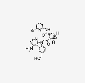 Nc1ncnc2c1c1cc(CO)ccc1n2CC(=O)N1[C@@H]2C[C@@H]2C[C@H]1C(=O)Nc1cccc(Br)n1